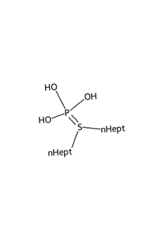 CCCCCCCS(CCCCCCC)=P(O)(O)O